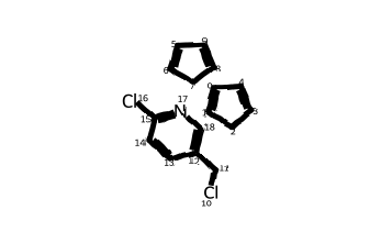 C1=CCC=C1.C1=CCC=C1.ClCc1ccc(Cl)nc1